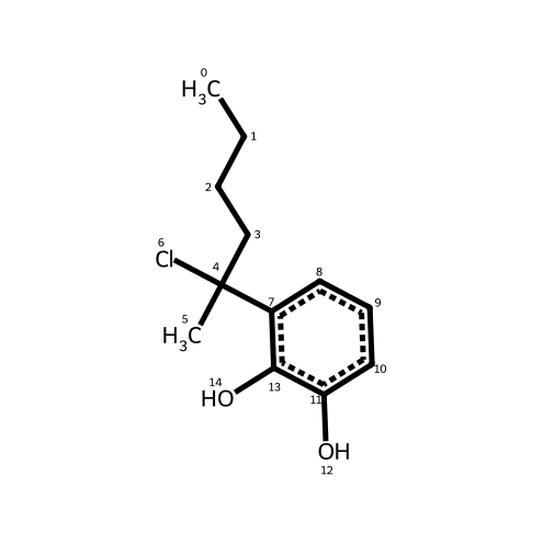 CCCCC(C)(Cl)c1cccc(O)c1O